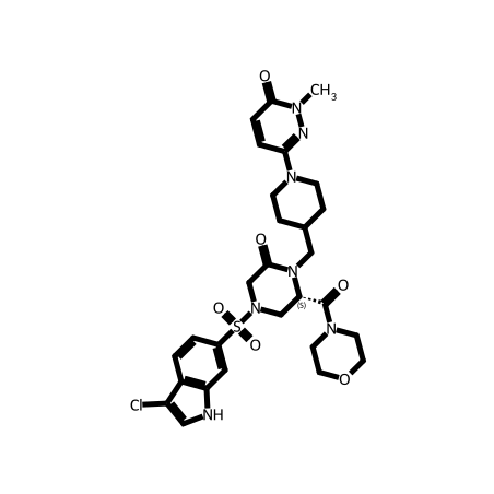 Cn1nc(N2CCC(CN3C(=O)CN(S(=O)(=O)c4ccc5c(Cl)c[nH]c5c4)C[C@H]3C(=O)N3CCOCC3)CC2)ccc1=O